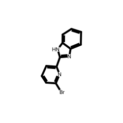 Brc1cccc(-c2nc3ccccc3[nH]2)n1